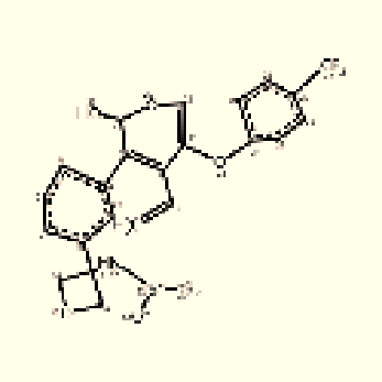 C=CC1=C(c2cccc(C3(N[S+]([O-])C(C)(C)C)COC3)c2)C(O)OC=C1Oc1ccc(C(F)(F)F)cc1